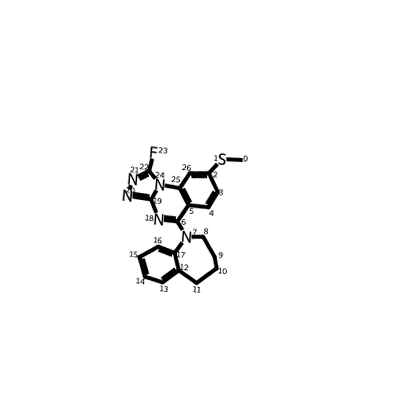 CSc1ccc2c(N3CCCCc4ccccc43)nc3nnc(F)n3c2c1